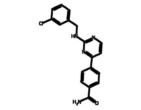 NC(=O)c1ccc(-c2ccnc(NCc3cccc(Cl)c3)n2)cc1